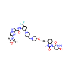 Cn1c(=O)n(C2CCC(=O)NC2=O)c2cccc(C#CCOC3CCN(CC4CCN(c5ccc(C(F)F)c(NC(=O)c6cnn7ccc(N8C[C@H]9C[C@@H]8CO9)nc67)c5)CC4)CC3)c21